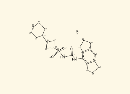 O=C(Nc1c2c(cc3c1CCC3)CCC2)NS(=O)(=O)C1CN(C2CCOCC2)C1.[K]